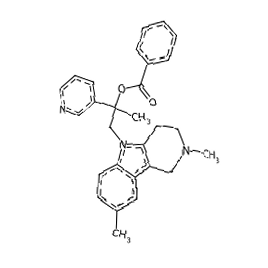 Cc1ccc2c(c1)c1c(n2CC(C)(OC(=O)c2ccccc2)c2cccnc2)CCN(C)C1